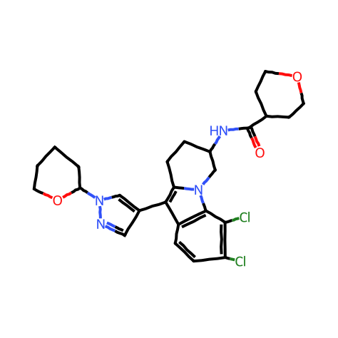 O=C(NC1CCc2c(-c3cnn(C4CCCCO4)c3)c3ccc(Cl)c(Cl)c3n2C1)C1CCOCC1